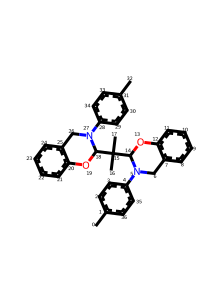 Cc1ccc(N2Cc3ccccc3OC2C(C)(C)C2Oc3ccccc3CN2c2ccc(C)cc2)cc1